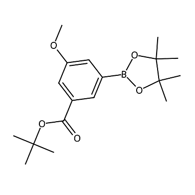 COc1cc(B2OC(C)(C)C(C)(C)O2)cc(C(=O)OC(C)(C)C)c1